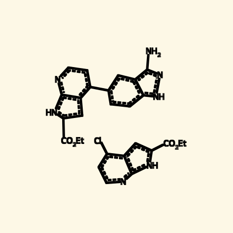 CCOC(=O)c1cc2c(-c3ccc4[nH]nc(N)c4c3)ccnc2[nH]1.CCOC(=O)c1cc2c(Cl)ccnc2[nH]1